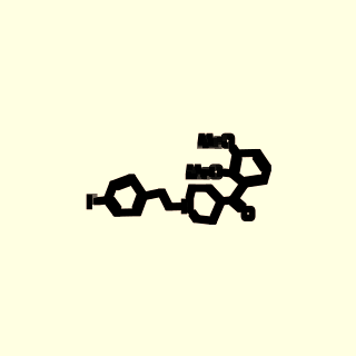 COc1cccc(C(=O)C2CCN(CCc3ccc(F)cc3)CC2)c1OC